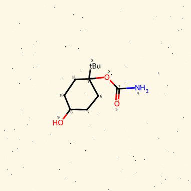 CC(C)(C)C1(OC(N)=O)CCC(O)CC1